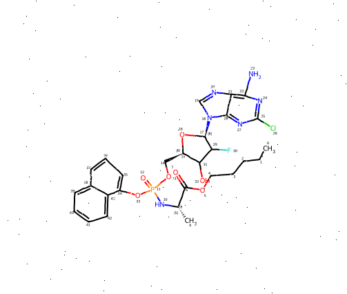 CCCCCOC(=O)[C@H](C)NP(=O)(OC[C@H]1O[C@@H](n2cnc3c(N)nc(Cl)nc32)C(F)C1O)Oc1cccc2ccccc12